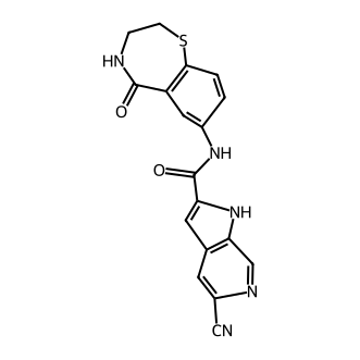 N#Cc1cc2cc(C(=O)Nc3ccc4c(c3)C(=O)NCCS4)[nH]c2cn1